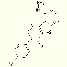 Cc1ccc(-n2cnc3c(sc4nccc(NN)c43)c2=O)cc1